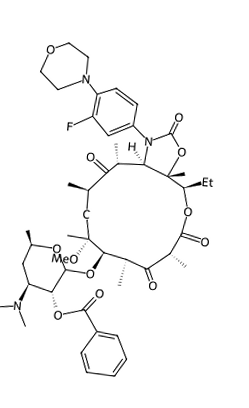 CC[C@H]1OC(=O)[C@H](C)C(=O)[C@H](C)[C@@H](OC2O[C@H](C)C[C@H](N(C)C)[C@H]2OC(=O)c2ccccc2)[C@](C)(OC)C[C@@H](C)C(=O)[C@H](C)[C@H]2N(c3ccc(N4CCOCC4)c(F)c3)C(=O)O[C@]12C